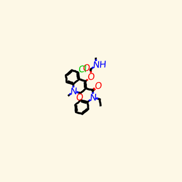 CCN(C(=O)c1c(OC(=O)NC)c2c(Cl)cccc2n(C)c1=O)c1ccccc1